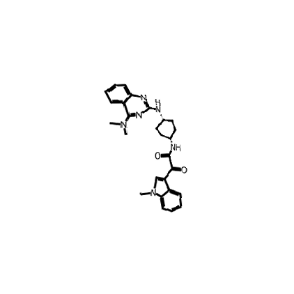 CN(C)c1nc(N[C@H]2CC[C@@H](NC(=O)C(=O)c3cn(C)c4ccccc34)CC2)nc2ccccc12